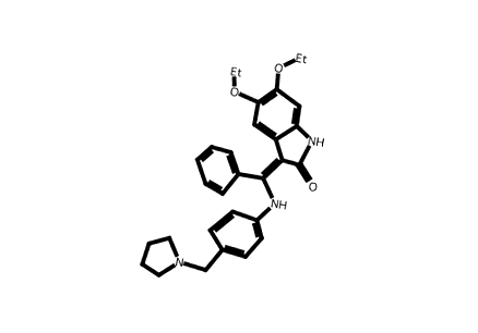 CCOc1cc2c(cc1OCC)/C(=C(/Nc1ccc(CN3CCCC3)cc1)c1ccccc1)C(=O)N2